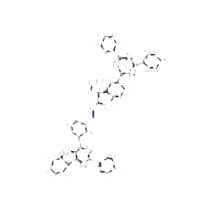 C=Cc1c(/C=C/c2cccc(-c3nc(-c4ccccc4)nc4c3oc3ccccc34)c2)oc2ccc(-c3nc(-c4ccccc4)nc(-c4ccccc4)n3)cc12